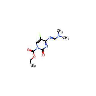 CN(C)C=Nc1nc(=O)n(C(=O)OCC(C)(C)C)cc1F